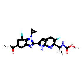 COC(=O)c1cc(F)c2c(c1)nc(-c1cc3cc(F)c([C@@H](C)NC(=O)OC(C)(C)C)nc3[nH]1)n2C1CC1